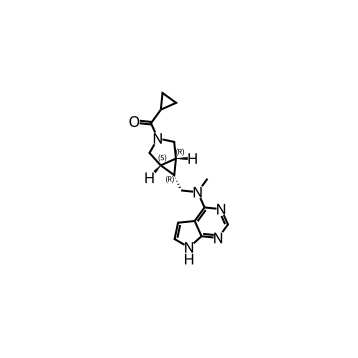 CN(C[C@@H]1[C@@H]2CN(C(=O)C3CC3)C[C@@H]21)c1ncnc2[nH]ccc12